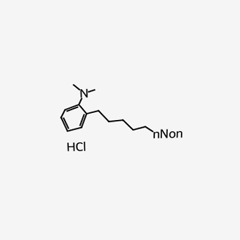 CCCCCCCCCCCCCCc1ccccc1N(C)C.Cl